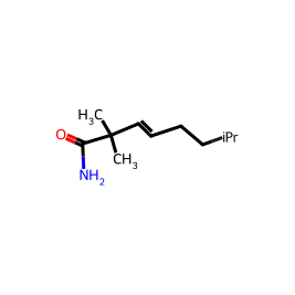 CC(C)CC/C=C/C(C)(C)C(N)=O